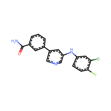 NC(=O)c1cccc(-c2cncc(Nc3ccc(F)c(Cl)c3)c2)c1